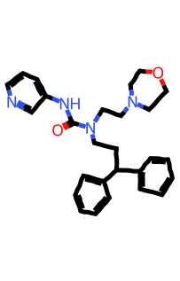 O=C(Nc1cccnc1)N(CCC(c1ccccc1)c1ccccc1)CCN1CCOCC1